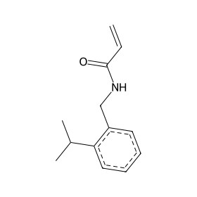 C=CC(=O)NCc1ccccc1C(C)C